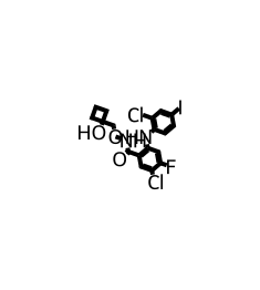 O=C(NOCC1(O)CCC1)c1cc(Cl)c(F)cc1Nc1ccc(I)cc1Cl